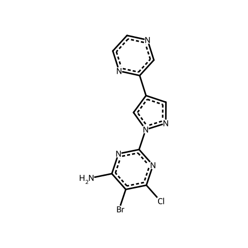 Nc1nc(-n2cc(-c3cnccn3)cn2)nc(Cl)c1Br